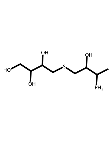 CC(P)C(O)CSCC(O)C(O)CO